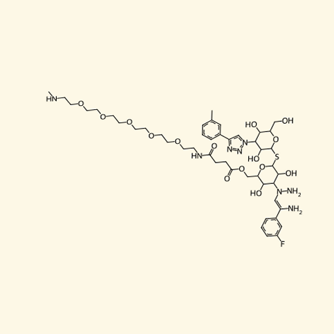 CNCCOCCOCCOCCOCCOCCNC(=O)CCC(=O)OCC1OC(SC2OC(CO)C(O)C(n3cc(-c4cccc(C)c4)nn3)C2O)C(O)C(N(N)/C=C(\N)c2cccc(F)c2)C1O